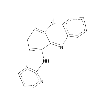 C1=C(Nc2ncccn2)C2=Nc3ccccc3NC2=CC1